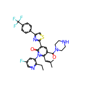 CCc1ncc(F)cc1-n1c(C=C(C)C)c(C(=O)N2CCNCC2)cc(-c2nc(-c3ccc(C(F)(F)F)cc3)cs2)c1=O